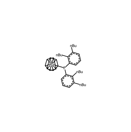 CCCCc1cccc(P(c2cccc(CCCC)c2CCCC)[C]23[CH]4[CH]5[CH]6[CH]2[Ru]56432789[CH]3[CH]2[CH]7[CH]8[CH]39)c1CCCC